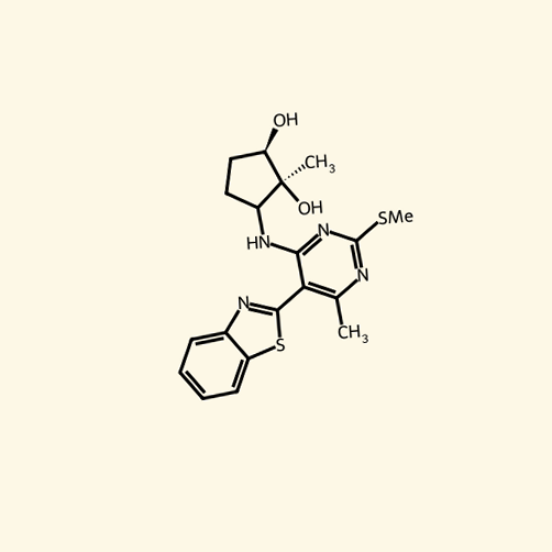 CSc1nc(C)c(-c2nc3ccccc3s2)c(NC2CC[C@@H](O)[C@@]2(C)O)n1